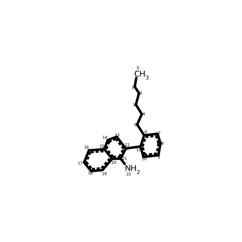 CCCCCCc1ccccc1-c1ccc2ccccc2c1N